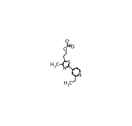 CCc1cc(-c2nc(C)c(CCO[N+](=O)[O-])s2)ccn1